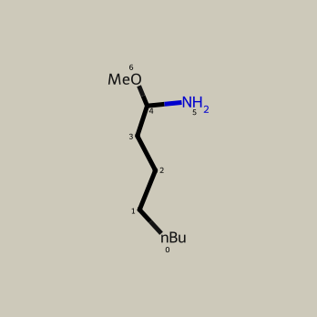 CCCCCCCC(N)OC